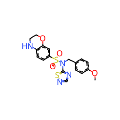 COc1ccc(CN(c2ncns2)S(=O)(=O)c2ccc3c(c2)OCCN3)cc1